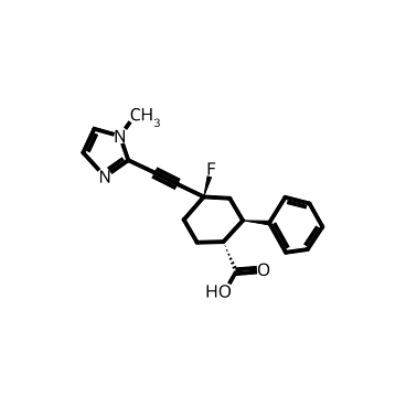 Cn1ccnc1C#C[C@@]1(F)CC[C@@H](C(=O)O)[C@H](c2ccccc2)C1